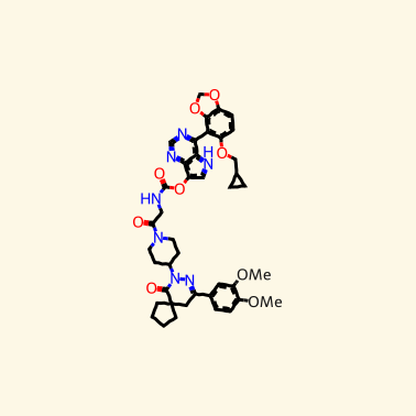 COc1ccc(C2=NN(C3CCN(C(=O)CNC(=O)Oc4c[nH]c5c(-c6c(OCC7CC7)ccc7c6OCO7)ncnc45)CC3)C(=O)C3(CCCC3)C2)cc1OC